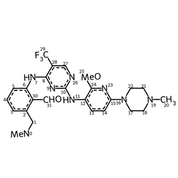 CNCc1cccc(Nc2nc(Nc3ccc(N4CCN(C)CC4)nc3OC)ncc2C(F)(F)F)c1C=O